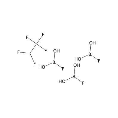 FC(F)C(F)(F)F.OB(O)F.OB(O)F.OB(O)F